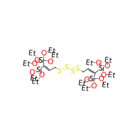 CCO[Si](OCC)(OCC)C(=CCSSSSCC=C([Si](OCC)(OCC)OCC)[Si](OCC)(OCC)OCC)[Si](OCC)(OCC)OCC